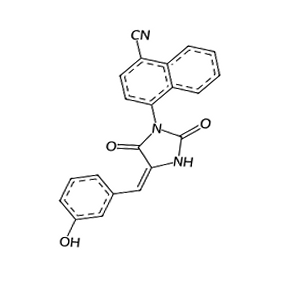 N#Cc1ccc(N2C(=O)NC(=Cc3cccc(O)c3)C2=O)c2ccccc12